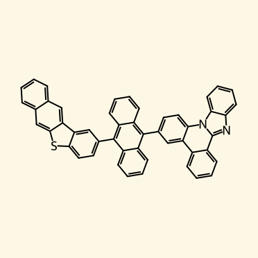 c1ccc2cc3c(cc2c1)sc1ccc(-c2c4ccccc4c(-c4ccc5c(c4)c4ccccc4c4nc6ccccc6n54)c4ccccc24)cc13